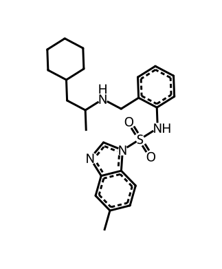 Cc1ccc2c(c1)ncn2S(=O)(=O)Nc1ccccc1CNC(C)CC1CCCCC1